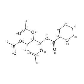 CC(=O)OCC(OC(C)=O)C(OC(C)=O)OC(=O)C1CCCCO1